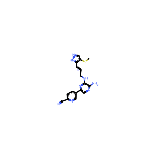 CSc1cn[nH]c1/C=C/CNc1nc(-c2ccc(C#N)nc2)cnc1N